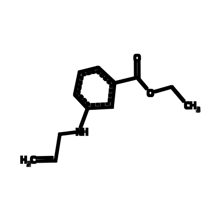 C=CCNc1cccc(C(=O)OCC)c1